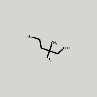 CCCCCCC(C)(C)CC=O